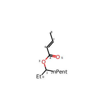 [CH2]CC(CCCCC)OC(=O)C=CC